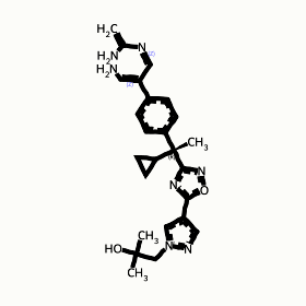 C=C(N)/N=C\C(=C/N)c1ccc([C@](C)(c2noc(-c3cnn(CC(C)(C)O)c3)n2)C2CC2)cc1